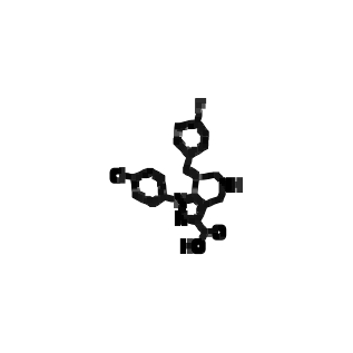 O=C(O)c1nn(-c2ccc(Cl)cc2)c2c1CNCC2=Cc1ccc(F)cc1